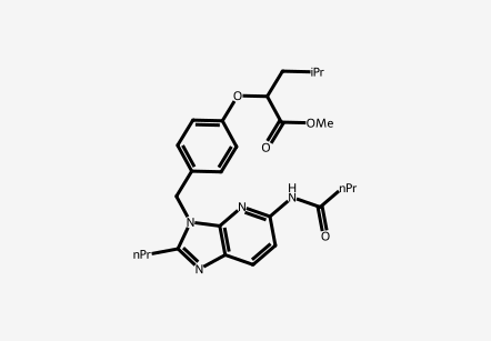 CCCC(=O)Nc1ccc2nc(CCC)n(Cc3ccc(OC(CC(C)C)C(=O)OC)cc3)c2n1